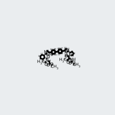 COC(=O)CN(C(=O)[C@@H]1CCCC[C@@H]1c1ncc(-c2ccc(-c3ccc(-c4cnc([C@@H]5CCCN5C(=O)C(NC(=O)OC)C(C)C)[nH]4)cc3)cc2)[nH]1)C(C)C